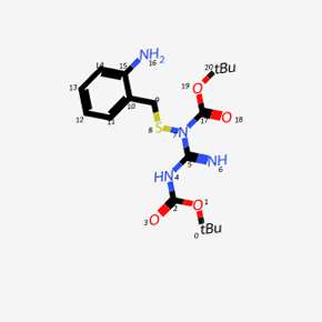 CC(C)(C)OC(=O)NC(=N)N(SCc1ccccc1N)C(=O)OC(C)(C)C